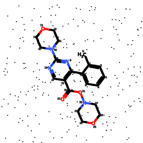 Cc1ccccc1-c1nc(N2CCOCC2)ncc1C(=O)ON1CCOCC1